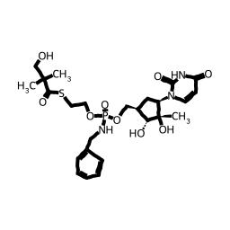 CC(C)(CO)C(=O)SCCOP(=O)(NCc1ccccc1)OC[C@H]1C[C@@H](n2ccc(=O)[nH]c2=O)[C@](C)(O)[C@@H]1O